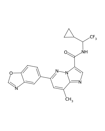 Cc1cc(-c2ccc3ocnc3c2)nn2c(C(=O)NC(C3CC3)C(F)(F)F)cnc12